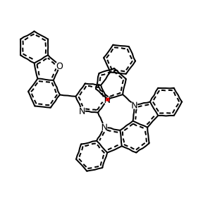 c1ccc(-c2cc(-c3cccc4c3oc3ccccc34)nc(-n3c4ccccc4c4ccc5c6ccccc6n(-c6ccccc6)c5c43)n2)cc1